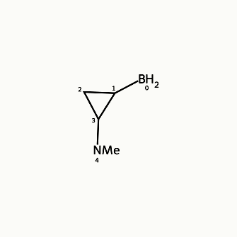 BC1CC1NC